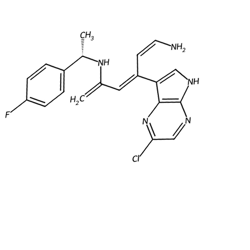 C=C(/C=C(\C=C/N)c1c[nH]c2ncc(Cl)nc12)N[C@@H](C)c1ccc(F)cc1